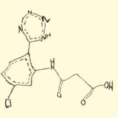 O=C(O)CC(=O)Nc1cc(Cl)ccc1-c1nnn[nH]1